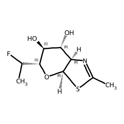 CC1=N[C@@H]2[C@@H](O)[C@H](O)[C@@H](C(C)F)O[C@@H]2S1